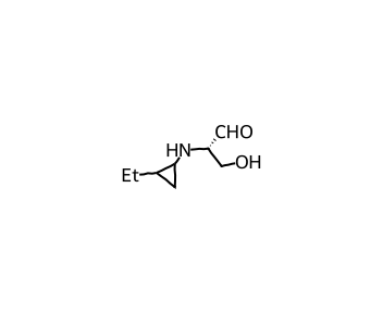 CCC1CC1N[C@H](C=O)CO